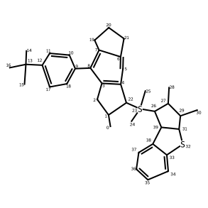 CC1Cc2c(cc3c(c2-c2ccc(C(C)(C)C)cc2)CCC3)C1S(C)(C)C1C(C)C(C)C2Sc3ccccc3C21